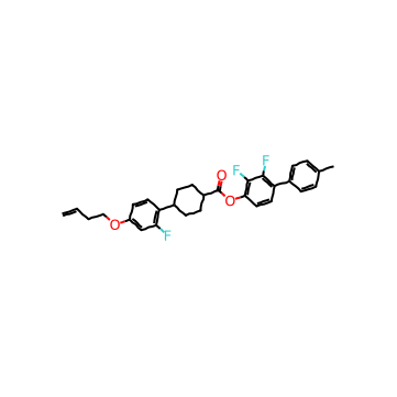 C=CCCOc1ccc(C2CCC(C(=O)Oc3ccc(-c4ccc(C)cc4)c(F)c3F)CC2)c(F)c1